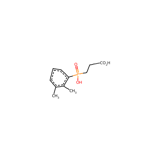 Cc1cccc(P(=O)(O)CCC(=O)O)c1C